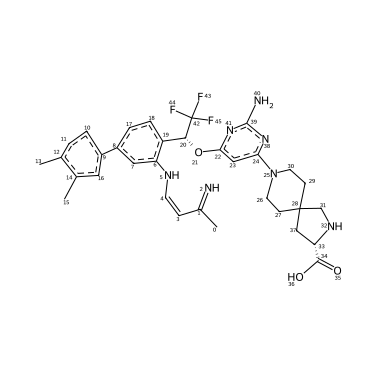 CC(=N)/C=C\Nc1cc(-c2ccc(C)c(C)c2)ccc1[C@@H](Oc1cc(N2CCC3(CC2)CN[C@H](C(=O)O)C3)nc(N)n1)C(F)(F)F